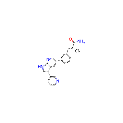 N#C/C(=C\c1cccc(-c2cnc3[nH]cc(-c4cccnc4)c3c2)c1)C(N)=O